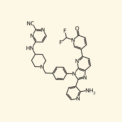 N#Cc1nccc(NC2CCN(Cc3ccc(-n4c(-c5cccnc5N)nc5ccc(-c6ccc(=O)n(C(F)F)c6)nc54)cc3)CC2)n1